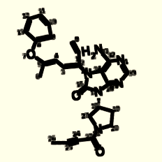 C=C/C(=C\C=C(/C)Oc1ccccc1)n1c(=O)n([C@@H]2CCN(C(=O)C#CC)C2)c2ncnc(N)c21